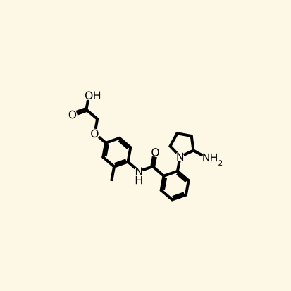 Cc1cc(OCC(=O)O)ccc1NC(=O)c1ccccc1N1CCCC1N